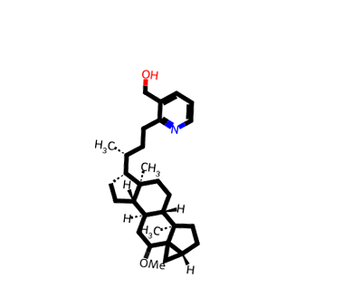 COC1C[C@H]2[C@@H]3CC[C@H]([C@H](C)CCc4ncccc4CO)[C@@]3(C)CC[C@@H]2[C@@]2(C)CC[C@@H]3CC132